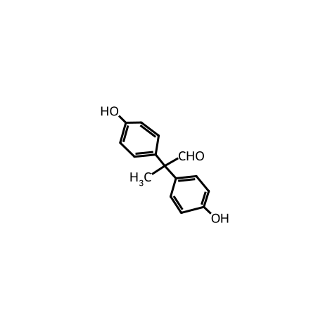 CC(C=O)(c1ccc(O)cc1)c1ccc(O)cc1